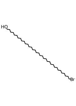 OCCCCCCCCCCCCCCCCCCCCCCCCCCCCCCCCCCCBr